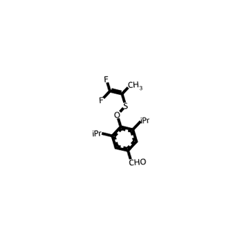 CC(SOc1c(C(C)C)cc(C=O)cc1C(C)C)=C(F)F